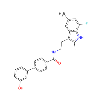 Bc1cc(F)c2[nH]c(C)c(CCNC(=O)c3ccc(-c4cccc(O)c4)cc3)c2c1